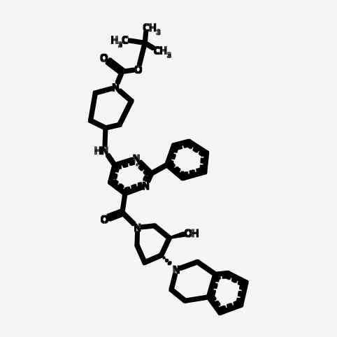 CC(C)(C)OC(=O)N1CCC(Nc2cc(C(=O)N3CC[C@@H](N4CCc5ccccc5C4)[C@H](O)C3)nc(-c3ccccc3)n2)CC1